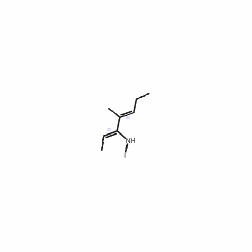 C/C=C(NI)/C(C)=C/CC